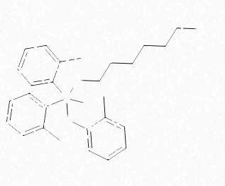 CCCCCCCCCCCCCCCCOP(O)(Oc1ccccc1C)(c1ccccc1C)c1ccccc1C